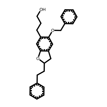 OCCCc1cc2c(cc1OCc1ccccc1)CC(CCc1ccccc1)O2